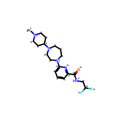 CC(C)N1CCC(N2CCCN(c3cccc(C(=O)NCC(F)F)n3)CC2)CC1